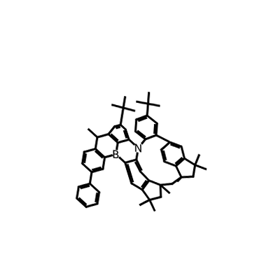 CC1c2ccc(-c3ccccc3)cc2B2c3cc4c5cc3N(c3ccc(C(C)(C)C)cc3-c3ccc6c(c3)C(C)(C)CC6(C)CC5(C)CC4(C)C)c3cc(C(C)(C)C)cc1c32